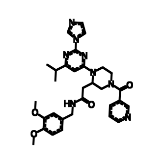 COc1ccc(CNC(=O)CC2CN(C(=O)c3cccnc3)CCN2c2cc(C(C)C)nc(-n3ccnc3)n2)cc1OC